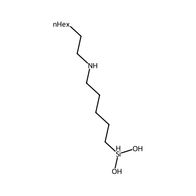 CCCCCCCCNCCCCC[SiH](O)O